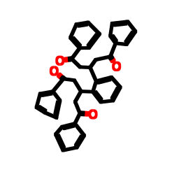 O=C(CC(CC(=O)c1ccccc1)c1ccccc1C(CC(=O)c1ccccc1)CC(=O)c1ccccc1)c1ccccc1